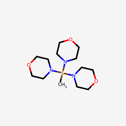 CS(N1CCOCC1)(N1CCOCC1)N1CCOCC1